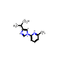 Cc1cccc(-n2cnc(C(C)C(=O)O)c2)n1